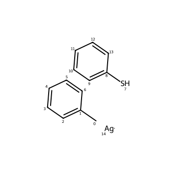 Cc1ccccc1.Sc1ccccc1.[Ag]